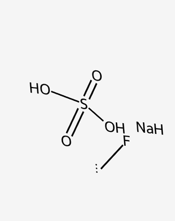 O=S(=O)(O)O.[C]F.[NaH]